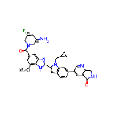 COc1cc(C(=O)N2C[C@H](N)C[C@@H](F)C2)cc2nc(-c3cc4ccc(-c5cnc6c(c5)C(=O)NC6)cc4n3CC3CC3)n(C)c12